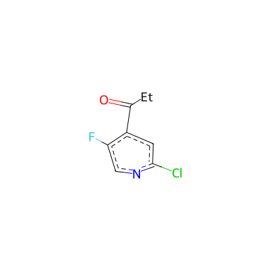 CCC(=O)c1cc(Cl)ncc1F